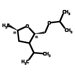 B[C@H]1CC(C(C)C)[C@@H](COC(C)C)O1